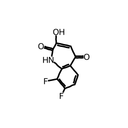 O=c1[nH]c2c(F)c(F)ccc2c(=O)cc1O